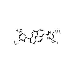 Cc1cc(C)nc(-c2ccc3ccc4c(-c5nc(C)cc(C)n5)ccc5ccc2c3c54)n1